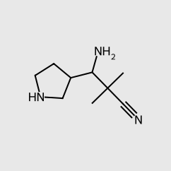 CC(C)(C#N)C(N)C1CCNC1